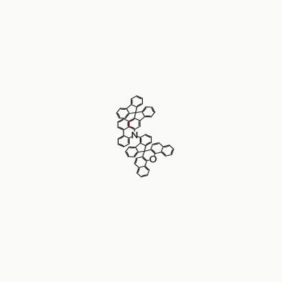 c1ccc(-c2ccccc2N(c2ccc3c(c2)-c2ccccc2C32c3ccccc3-c3ccccc32)c2cccc3c2-c2ccccc2C32c3ccc4ccccc4c3Oc3c2ccc2ccccc32)cc1